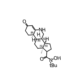 CC(C)(C)N(O)C(=O)C1CC[C@H]2[C@@H]3CNC4=CC(=O)CC[C@]4(C)[C@@H]3CC[C@]12C